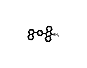 Bc1c2ccccc2c(-c2ccc(-c3cccc4ccccc34)cc2)c2ccccc12